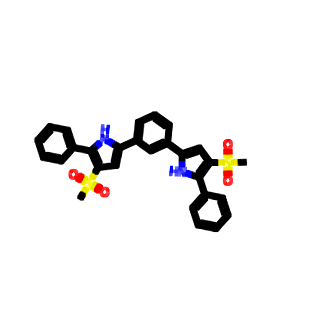 CS(=O)(=O)c1cc(-c2cccc(-c3cc(S(C)(=O)=O)c(-c4ccccc4)[nH]3)c2)[nH]c1-c1ccccc1